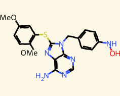 COc1ccc(OC)c(Sc2nc3c(N)ncnc3n2Cc2ccc(NO)cc2)c1